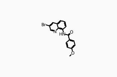 COc1ccc(C(=O)Nc2cccc3cc(Br)cnc23)cc1